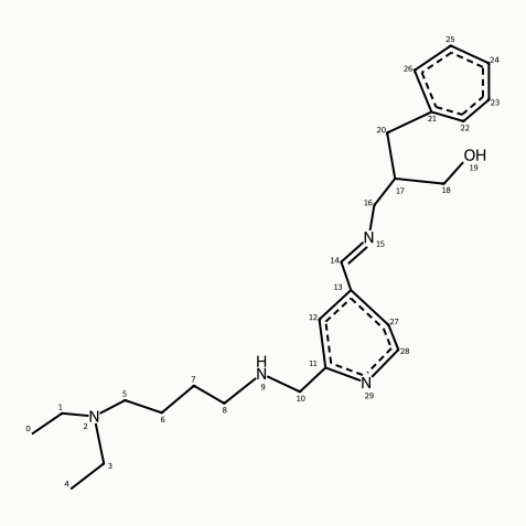 CCN(CC)CCCCNCc1cc(C=NCC(CO)Cc2ccccc2)ccn1